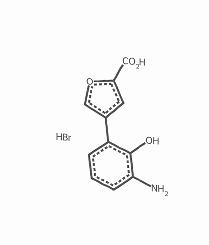 Br.Nc1cccc(-c2coc(C(=O)O)c2)c1O